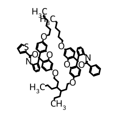 CCCCCCOc1ccc2c(c1)Oc1cc(OCCC(CCC)C(CCC)CCOc3ccc4c(c3)Oc3cc(OCCCCCC)ccc3C43OC(c4cccs4)=Nc4ccccc43)ccc1C21OC(c2ccccc2)=Nc2ccccc21